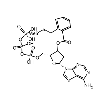 CSSCc1ccccc1C(=O)OC1C[C@H](n2cnc3c(N)ncnc32)O[C@@H]1COP(=O)(O)OP(=O)(O)OP(=O)(O)O